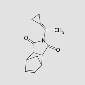 CC(=C1CC1)N1C(=O)C2C3C=CC(C3)C2C1=O